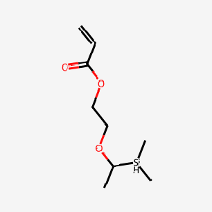 C=CC(=O)OCCOC(C)[SiH](C)C